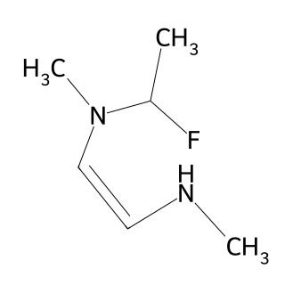 CN/C=C\N(C)C(C)F